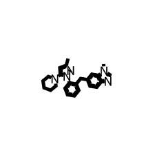 Cc1cc(N2CCCCC2)n(-c2ccccc2Cc2ccc3ncn(C)c3c2)n1